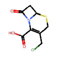 O=C(O)C1=C(CCl)CSC2CC(=O)N12